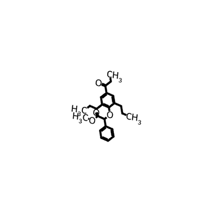 CCCc1cc(C(=O)CC)cc(CCC)c1OC(C(=O)OC)c1ccccc1